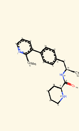 COc1ncccc1-c1ccc(C[C@@H](C#N)NC(=O)[C@@H]2CCCCN2)cc1